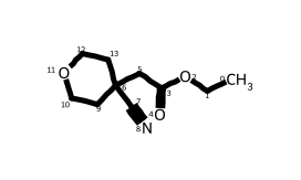 CCOC(=O)CC1(C#N)CCOCC1